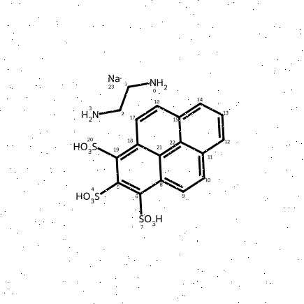 NCCN.O=S(=O)(O)c1c(S(=O)(=O)O)c2ccc3cccc4ccc(c1S(=O)(=O)O)c2c34.[Na]